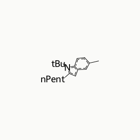 CCCCCc1cc2cc(C)ccc2n1C(C)(C)C